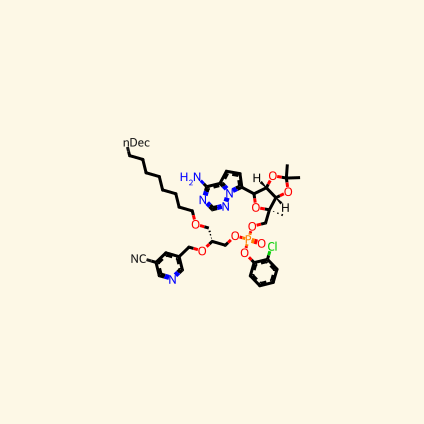 CCCCCCCCCCCCCCCCCCOC[C@H](COP(=O)(OC[C@@]1(C)OC(c2ccc3c(N)ncnn23)[C@@H]2OC(C)(C)O[C@@H]21)Oc1ccccc1Cl)OCc1cncc(C#N)c1